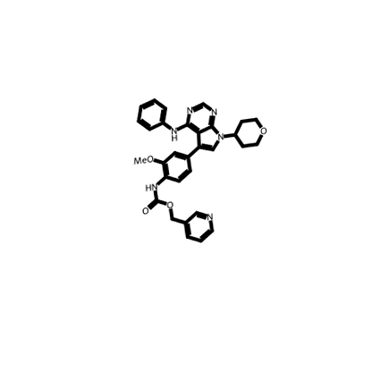 COc1cc(-c2cn(C3CCOCC3)c3ncnc(Nc4ccccc4)c23)ccc1NC(=O)OCc1cccnc1